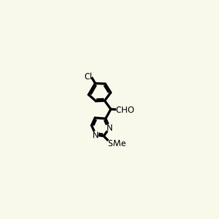 CSc1nccc(C(C=O)c2ccc(Cl)cc2)n1